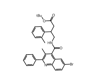 Cc1ccccc1C(CNC(=O)c1c(C)c(-c2ccccc2)nc2ccc(Br)cc12)CC(=O)OC(C)(C)C